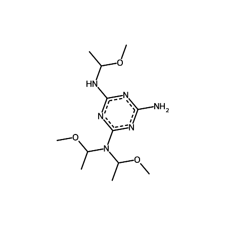 COC(C)Nc1nc(N)nc(N(C(C)OC)C(C)OC)n1